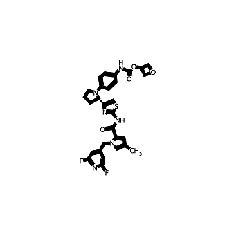 Cc1cc(C(=O)Nc2nc([C@H]3CCCN3c3ccc(NC(=O)OC4COC4)cc3)cs2)n(Cc2cc(F)nc(F)c2)c1